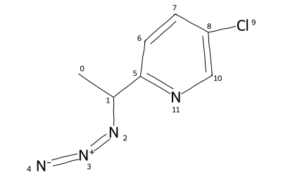 CC(N=[N+]=[N-])c1ccc(Cl)cn1